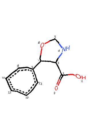 O=C(O)C1NCOC1c1ccccc1